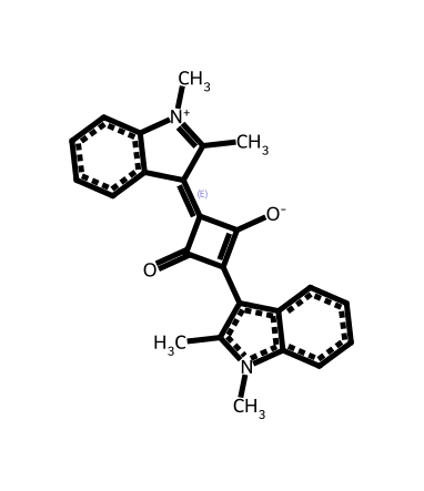 CC1=[N+](C)c2ccccc2/C1=C1\C(=O)C(c2c(C)n(C)c3ccccc23)=C1[O-]